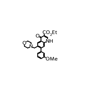 CCOC(=O)c1c[nH]c2cc(-c3cccc(OC)c3)c(CN3CCOCC3)cc2c1=O